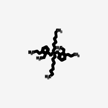 CCCCCCC[CH2][Sn]([CH2]CCCCCCC)([O]c1cccc(CCC)c1CC)[O]c1cccc(CCC)c1CC